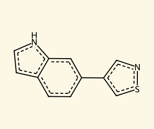 c1cc2ccc(-c3cnsc3)cc2[nH]1